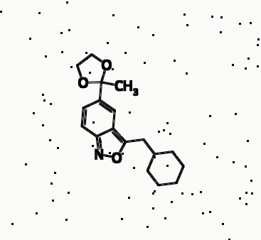 CC1(c2ccc3noc(CC4CCCCC4)c3c2)OCCO1